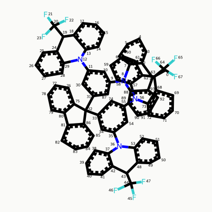 CC1c2ccccc2N(c2cc(N3c4ccccc4C(C(F)(F)F)c4ccccc43)cc(C3(c4cc(N5c6ccccc6C(C(F)(F)F)c6ccccc65)cc(N5c6ccccc6C(C(F)(F)F)c6ccccc65)c4)c4ccccc4-c4ccccc43)c2)c2ccccc21